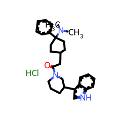 CN(C)C1(c2ccccc2)CCC(CC(=O)N2CCCC(c3c[nH]c4ccccc34)C2)CC1.Cl